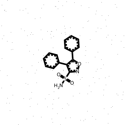 NS(=O)(=O)c1noc(-c2ccccc2)c1-c1ccccc1